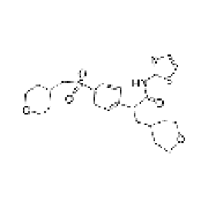 O=C(Nc1nccs1)C(CC1CCOCC1)c1ccc(S(=O)(=O)CC2CCOCC2)cc1